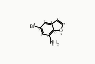 Nc1cc(Br)cc2ccoc12